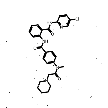 CN(C(=O)CN1CCCCC1)c1ccc(C(=O)Nc2ccccc2C(=O)Nc2ccc(Cl)cn2)cc1